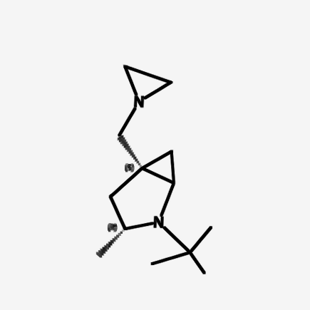 C[C@@H]1C[C@@]2(CN3CC3)CC2N1C(C)(C)C